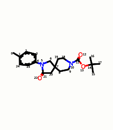 Cc1ccc(N2CC3(CCN(C(=O)OC(C)(C)C)CC3)CC2=O)cc1